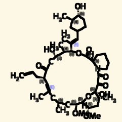 C=CC[C@@H]1/C=C(\C)C[C@H](C)C[C@H](OC)[C@H]2O[C@@](O)(C(=O)C(=O)N3CCCC[C@H]3C(=O)O[C@H](/C(C)=C/C3CC[C@@H](O)[C@H](C)C3)[C@H](C)[C@@H](O)CC1=O)[C@H](C)C[C@@H]2OC